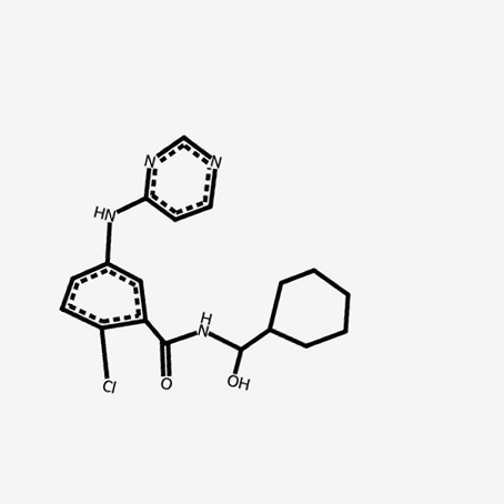 O=C(NC(O)C1CCCCC1)c1cc(Nc2ccncn2)ccc1Cl